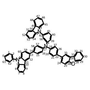 c1ccc(-n2c3ccccc3c3cc(-c4ccc(N(c5ccc(-c6ccc7oc8ccccc8c7c6)cc5)c5cccc(-n6c7ccccc7c7ccccc76)c5)cc4)ccc32)cc1